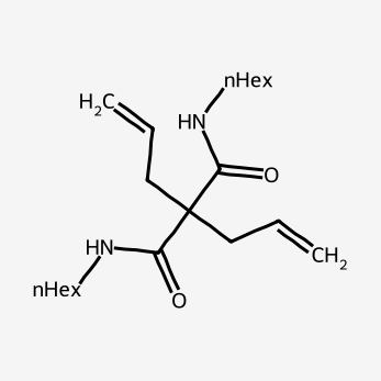 C=CCC(CC=C)(C(=O)NCCCCCC)C(=O)NCCCCCC